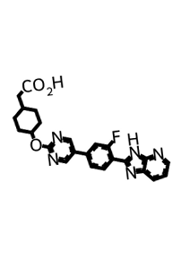 O=C(O)CC1CCC(Oc2ncc(-c3ccc(-c4nc5cccnc5[nH]4)c(F)c3)cn2)CC1